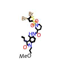 C=C/C=C1/C(=O)N(CCCOC)c2ccc(NC(=O)C3CCCN(S(=O)(=O)c4cc(Br)c(Br)s4)C3)c(C)c21